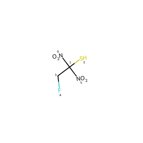 O=[N+]([O-])C(S)(CF)[N+](=O)[O-]